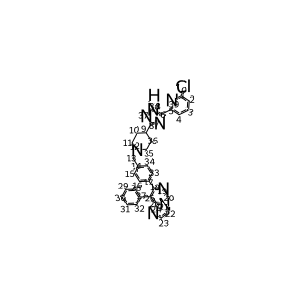 Clc1cccc(-c2nc(C3CCN(Cc4ccc(-c5ncn6ccnc6c5-c5ccccc5)cc4)CC3)n[nH]2)n1